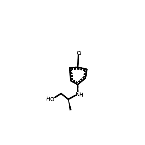 C[C@@H](CO)Nc1ccc(Cl)cc1